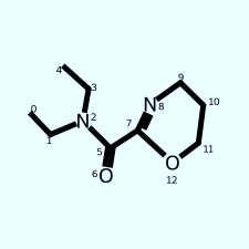 CCN(CC)C(=O)C1=NCCCO1